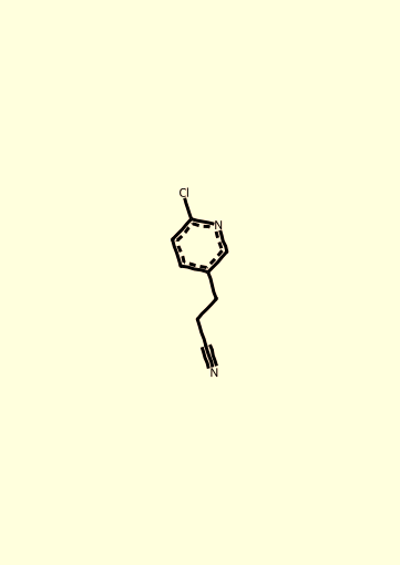 N#CCCc1ccc(Cl)nc1